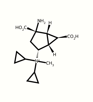 C[N+](C1CC1)(C1CC1)[C@@H]1C[C@@](N)(C(=O)O)[C@@H]2[C@@H](C(=O)O)[C@@H]21